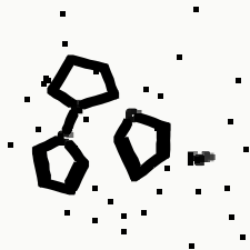 [Fe+2].c1cc[c-](N2CCCC2)c1.c1cc[cH-]c1